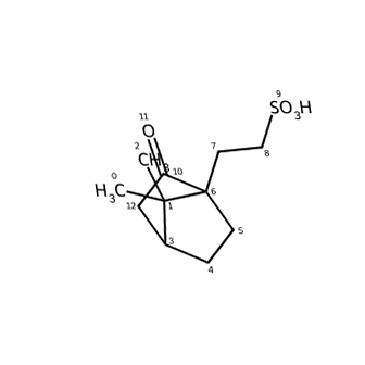 CC1(C)C2CCC1(CCS(=O)(=O)O)C(=O)C2